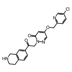 O=C(Cn1ncc(OCc2ccc(Cl)cn2)cc1=O)c1ccc2c(c1)CNCC2